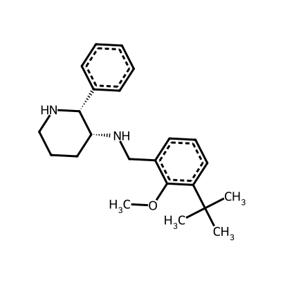 COc1c(CN[C@@H]2CCCN[C@@H]2c2ccccc2)cccc1C(C)(C)C